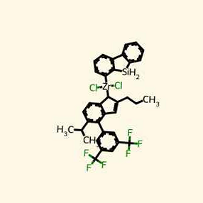 CCCC1=Cc2c(ccc(C(C)C)c2-c2cc(C(F)(F)F)cc(C(F)(F)F)c2)[CH]1[Zr]([Cl])([Cl])[c]1cccc2c1[SiH2]c1ccccc1-2